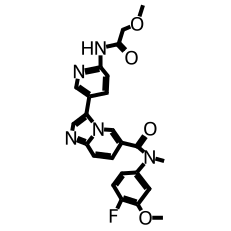 COCC(=O)Nc1ccc(-c2cnc3ccc(C(=O)N(C)c4ccc(F)c(OC)c4)cn23)cn1